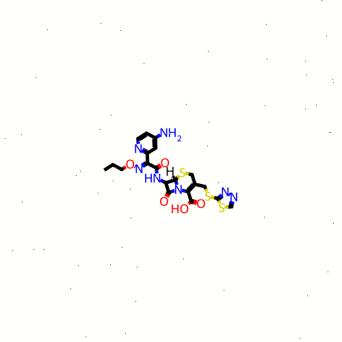 CCCON=C(C(=O)NC1C(=O)N2C(C(=O)O)=C(CSc3nncs3)CS[C@@H]12)c1cc(N)ccn1